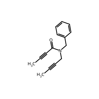 CC#CCN(Cc1ccccc1)C(=O)C#CC